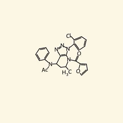 CC(=O)N(c1ccccc1)C1CC(C)N(C(=O)c2ccco2)c2c1nnn2-c1ccccc1Cl